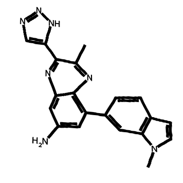 Cc1nc2c(-c3ccc4ccn(C)c4c3)cc(N)cc2nc1-c1cnn[nH]1